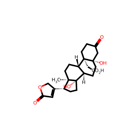 C[C@]12CC[C@H]3[C@@H](CC[C@]4(O)CC(=O)CC[C@]34CC(=O)O)[C@@]1(O)CC[C@@H]2C1=CC(=O)OC1